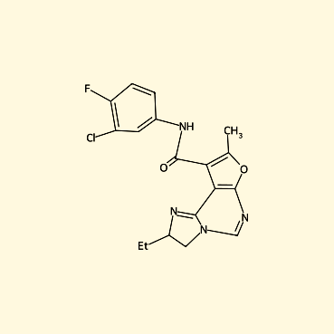 CCC1CN2C=Nc3oc(C)c(C(=O)Nc4ccc(F)c(Cl)c4)c3C2=N1